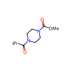 COC(=O)N1CCN(C(=O)C(C)C)CC1